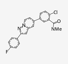 CNC(=O)c1cc(-c2ccn3nc(-c4ccc(F)cc4)cc3c2)ccc1Cl